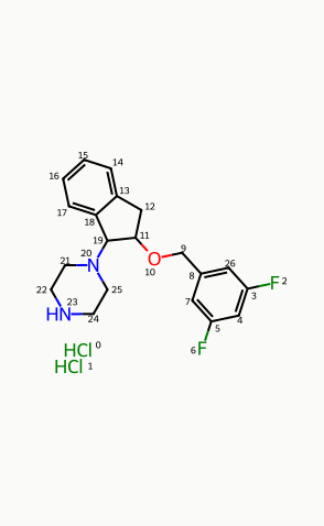 Cl.Cl.Fc1cc(F)cc(COC2Cc3ccccc3C2N2CCNCC2)c1